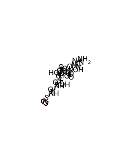 CC(C)(COP(=O)(O)OP(=O)(O)OC[C@H]1O[C@@H](n2cnc3c(N)ncnc32)[C@H](O)[C@@H]1OP(=O)(O)O)[C@@H](O)C(=O)NCCC(=O)NCCSC12CC3CC(CC(C3)C1)C2